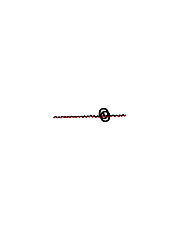 CCCCCCCCCCCCCCCCCCCCCCCCCCCCCCCC(=O)OCCCCCCCCCCCCC